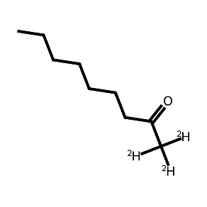 [2H]C([2H])([2H])C(=O)CCCCCCC